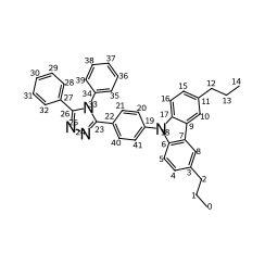 CCCc1ccc2c(c1)c1cc(CCC)ccc1n2-c1ccc(-c2nnc(-c3ccccc3)n2-c2ccccc2)cc1